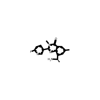 Cc1cc([C@@H](C)N)c2nc(-c3ccc(F)nc3)n(C)c(=O)c2c1